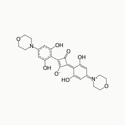 O=C1C(=C2C(O)=CC(=[N+]3CCOCC3)C=C2O)C([O-])=C1c1c(O)cc(N2CCOCC2)cc1O